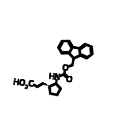 O=C(O)CC[C@H]1CCC[C@@H]1NC(=O)OCC1c2ccccc2-c2ccccc21